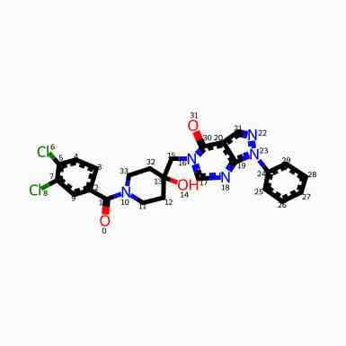 O=C(c1ccc(Cl)c(Cl)c1)N1CCC(O)(Cn2cnc3c(cnn3-c3ccccc3)c2=O)CC1